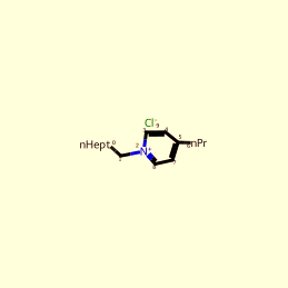 CCCCCCCC[n+]1ccc(CCC)cc1.[Cl-]